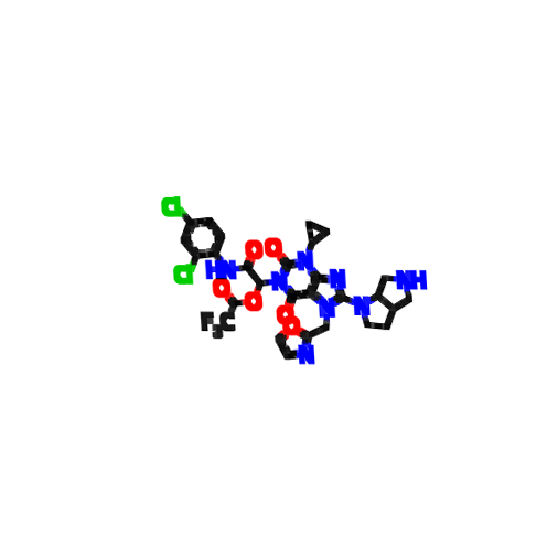 O=C(Nc1ccc(Cl)cc1Cl)C(OC(=O)C(F)(F)F)n1c(=O)c2c(nc(N3CCC4CNCC43)n2Cc2ncco2)n(C2CC2)c1=O